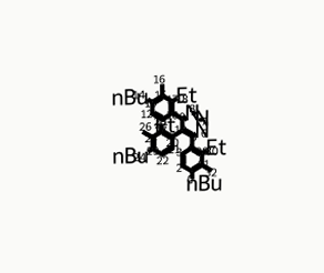 CCCCc1ccc(-c2nnnc(-c3ccc(CCCC)c(C)c3CC)c2-c2ccc(CCCC)c(C)c2CC)c(CC)c1C